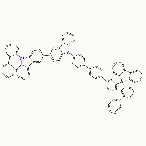 c1ccc(-c2cccc(C3(c4cccc(-c5ccc(-c6ccc(-n7c8ccccc8c8cc(-c9ccc%10c(c9)c9ccccc9n%10-c9ccccc9-c9ccccc9)ccc87)cc6)cc5)c4)c4ccccc4-c4ccccc43)c2)cc1